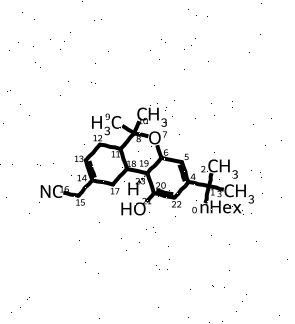 CCCCCCC(C)(C)C1=CC2OC(C)(C)C3CC=C(CC#N)CC3[C@@H]2C(O)=C1